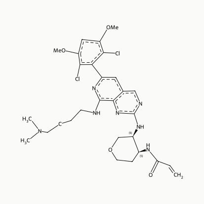 C=CC(=O)N[C@H]1CCOC[C@H]1Nc1ncc2cc(-c3c(Cl)c(OC)cc(OC)c3Cl)nc(NCCCCN(C)C)c2n1